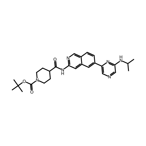 CC(C)Nc1cncc(-c2ccc3cnc(NC(=O)C4CCN(C(=O)OC(C)(C)C)CC4)cc3c2)n1